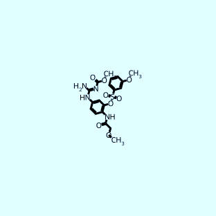 COCC(=O)Nc1ccc(NC(N)=NC(=O)OC)cc1OS(=O)(=O)c1cccc(OC)c1